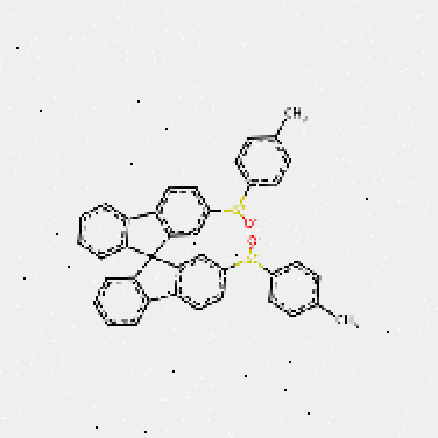 Cc1ccc([S+]([O-])c2ccc3c(c2)C2(c4ccccc4-3)c3ccccc3-c3ccc([S+]([O-])c4ccc(C)cc4)cc32)cc1